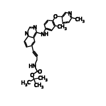 Cc1ccc(Oc2ccc(Nc3ncnc4ccc(C#CCNC(=O)OC(C)(C)C)cc34)cc2C)cn1